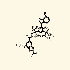 COc1cc(C(=O)NCC(O)(c2cc3c(c(-c4csc5c(F)cccc45)n2)OC[C@]3(C)C(N)=O)C(F)(F)F)cc2cn(C(F)F)nc12